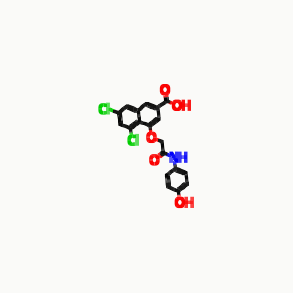 O=C(COc1cc(C(=O)O)cc2cc(Cl)cc(Cl)c12)Nc1ccc(O)cc1